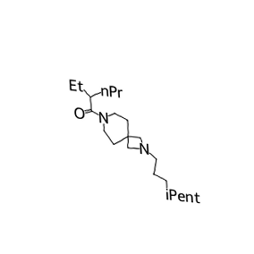 CCCC(C)CCCN1CC2(CCN(C(=O)C(CC)CCC)CC2)C1